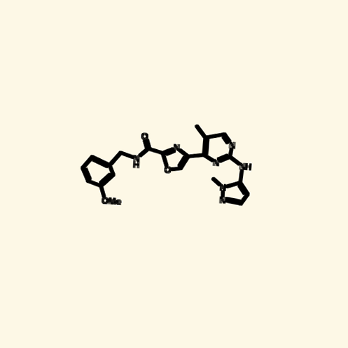 COc1cccc(CNC(=O)c2nc(-c3nc(Nc4ccnn4C)ncc3C)co2)c1